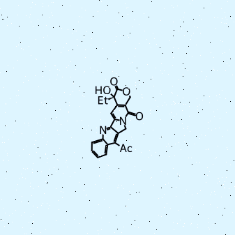 CC[C@@]1(O)C(=O)OCc2c1cc1n(c2=O)Cc2c-1nc1ccccc1c2C(C)=O